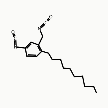 CCCCCCCCCCc1ccc(N=C=O)cc1CN=C=O